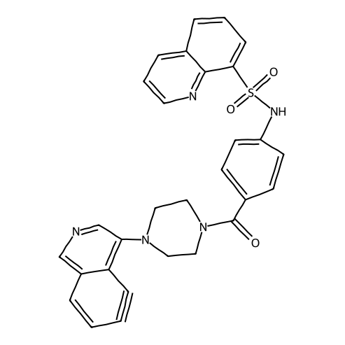 O=C(c1ccc(NS(=O)(=O)c2cccc3cccnc23)cc1)N1CCN(c2cncc3ccc#cc23)CC1